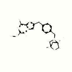 CCCCOc1nc(N)c2nc(Cc3ccc(CN4C[C@@H]5C[C@H]4CN5)cc3)cn2n1